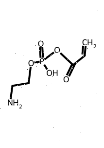 C=CC(=O)OP(=O)(O)OCCN